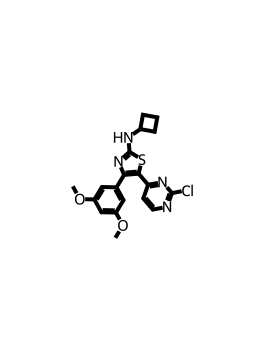 COc1cc(OC)cc(-c2nc(NC3CCC3)sc2-c2ccnc(Cl)n2)c1